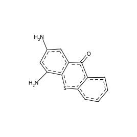 Nc1cc(N)c2sc3ccccc3c(=O)c2c1